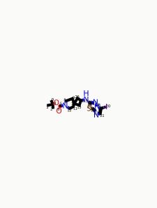 CC(C)(C)OC(=O)N1CCC2(CC1)CC(Nc1nn3c(I)cnc3s1)C2